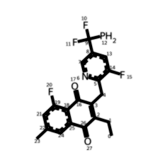 CCC1=C(Cc2ncc(C(F)(F)P)cc2F)C(=O)c2c(F)cc(C)cc2C1=O